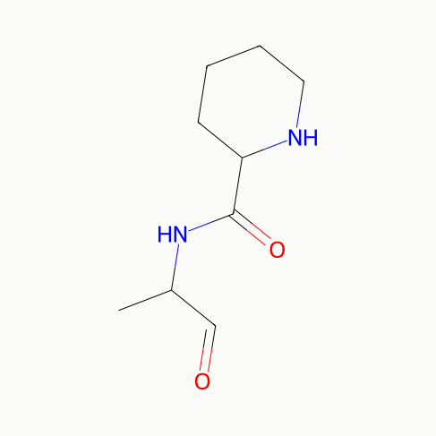 CC(C=O)NC(=O)C1CCCCN1